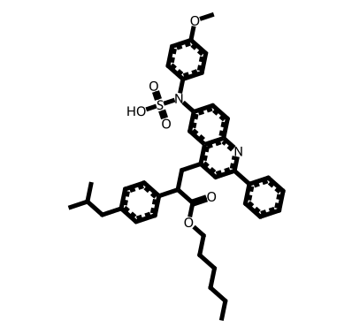 CCCCCCOC(=O)C(Cc1cc(-c2ccccc2)nc2ccc(N(c3ccc(OC)cc3)S(=O)(=O)O)cc12)c1ccc(CC(C)C)cc1